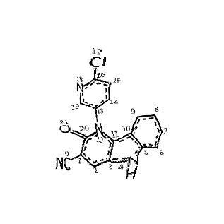 N#Cc1cc2[nH]c3ccccc3c2n(-c2ccc(Cl)nc2)c1=O